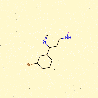 C=NC(CCNI)C1CCCC(Br)C1